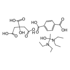 CCN(CC)C(C)(O)N(CC)CC.O=C(O)CC(O)(CC(=O)O)C(=O)O.O=C(O)c1ccc(C(=O)O)cc1